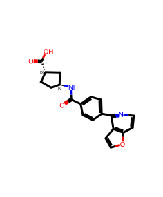 O=C(N[C@H]1CC[C@H](C(=O)O)C1)c1ccc(-c2nccc3occc23)cc1